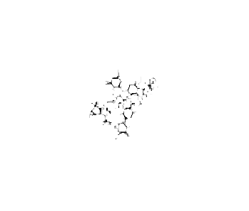 Cn1nc(NS(C)(=O)=O)c2c(Cl)ccc(-n3c([C@H](Cc4cc(F)cc(F)c4)NC(=O)Cn4nc(C(F)F)c5c4C(F)(F)C4CC54)nc4cc(-c5cnc(F)c(F)c5)ccc4c3=O)c21